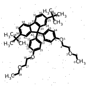 CCOCCOc1ccc(C2(c3ccc(OCCOCC)cc3)c3cc(C(C)(C)C)ccc3-c3ccc(C(C)(C)C)cc32)cc1